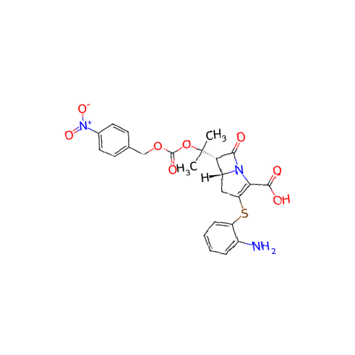 CC(C)(OC(=O)OCc1ccc([N+](=O)[O-])cc1)[C@@H]1C(=O)N2C(C(=O)O)=C(Sc3ccccc3N)C[C@H]12